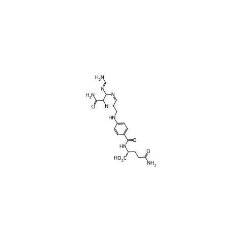 N/C=N/C1N=CC(CNc2ccc(C(=O)N[C@@H](CCC(N)=O)C(=O)O)cc2)=NC1C(N)=O